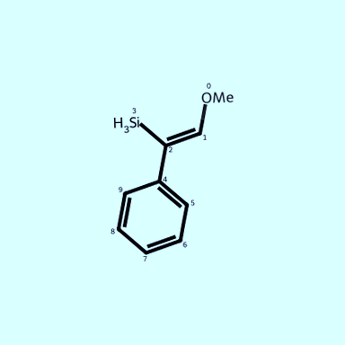 COC=C([SiH3])c1ccccc1